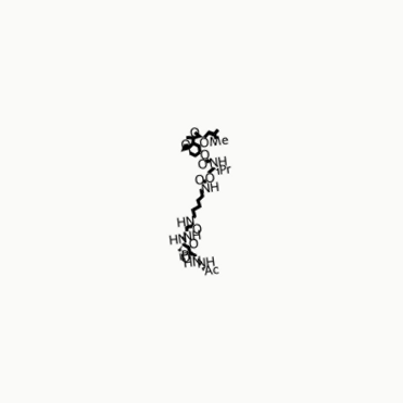 COC1C(OC(=O)N[C@@H](COC(=O)NCCCCCCNC(=O)CNN[C@@H](CC(C)C)C(=O)C(=O)CNNCC(C)=O)C(C)C)CC[C@]2(CO2)C1C1(C)O[C@@H]1CC=C(C)C